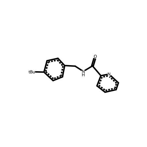 CC(C)(C)c1ccc(CNC(=O)c2ccccn2)cc1